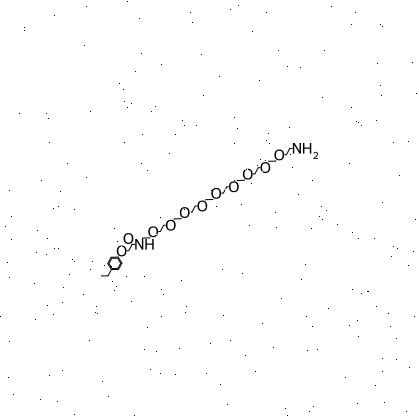 CCc1ccc(OCC(=O)NCCOCCOCCOCCOCCOCCOCCOCCOCCOCCN)cc1